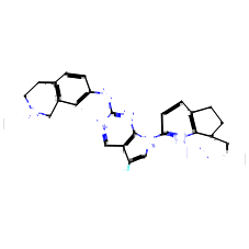 CC[C@]1(N)CCc2ccc(-n3cc(F)c4cnc(Nc5ccc6c(c5)CN(C)CC6)nc43)nc21